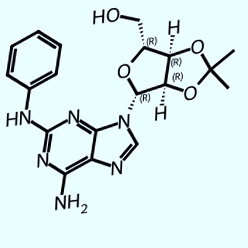 CC1(C)O[C@@H]2[C@H](O1)[C@@H](CO)O[C@H]2n1cnc2c(N)nc(Nc3ccccc3)nc21